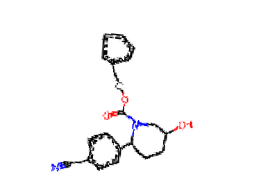 N#Cc1ccc(C2CCC(O)CN2C(=O)OCc2ccccc2)cc1